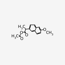 COc1ccc2cc(C(C)C(=O)OC(C)=O)ccc2c1